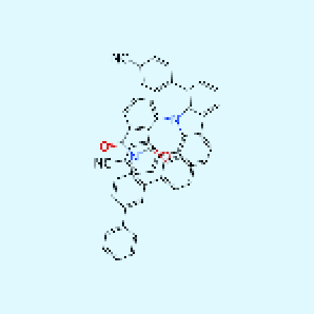 N#Cc1ccc(-c2cccc3c4cccc(-c5ccc(C#N)cc5)c4n(-c4cccc5c4C(=O)N(c4ccc(-c6ccccc6)cc4-c4ccccc4)C5=O)c23)cc1